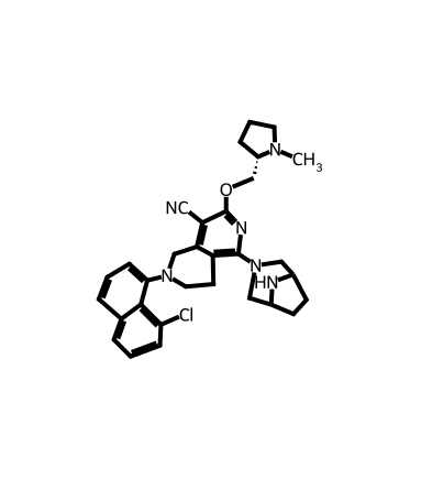 CN1CCC[C@H]1COc1nc(N2CC3CCC(C2)N3)c2c(c1C#N)CN(c1cccc3cccc(Cl)c13)CC2